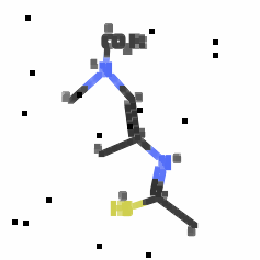 CCOC(=O)N(C)/C=C(C)/N=C(/C)S